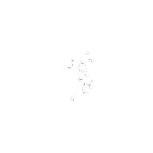 CC(C)(C)OC(=O)c1cc(NC(=O)c2cc(CCN)ccc2I)cc(C(=O)OC(C)(C)C)c1